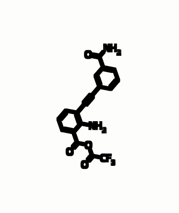 NC(=O)c1cccc(C#Cc2cccc(C(=O)OC(=O)C(F)(F)F)c2N)c1